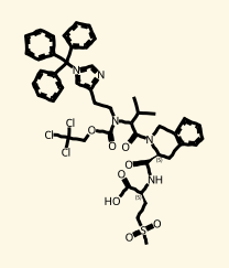 CC(C)C(C(=O)N1Cc2ccccc2C[C@H]1C(=O)N[C@@H](CCS(C)(=O)=O)C(=O)O)N(CCc1cn(C(c2ccccc2)(c2ccccc2)c2ccccc2)cn1)C(=O)OCC(Cl)(Cl)Cl